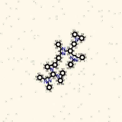 c1ccc(-c2cc(-c3cc(-c4ccc(-n5c6ccccc6c6ccccc65)cc4)cc(-c4nc(-c5ccccc5)cc(-c5ccc(-c6ccc7c(c6)c6ccccc6n7-c6cc(-c7cc(-c8ccccc8)nc(-c8ccccc8)n7)cc(-n7c8ccccc8c8ccccc87)c6)cc5)n4)c3)nc(-c3ccccc3)n2)cc1